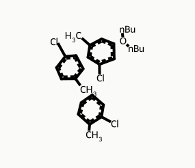 CCCCOCCCC.Cc1ccc(Cl)cc1.Cc1cccc(Cl)c1.Cc1ccccc1Cl